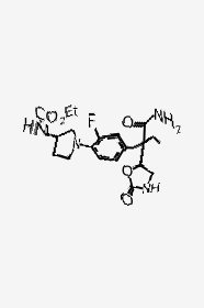 CCOC(=O)NC1CCN(c2ccc(C(C)(C(N)=O)C3CNC(=O)O3)cc2F)C1